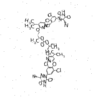 CC(CCOc1nnc(Oc2c(Cl)cc(-n3nc(C#N)c(=O)[nH]c3=O)cc2Cl)cc1C(C)C)OC(=O)OC(C)CCOc1nnc(Oc2c(Cl)cc(-n3nc(C#N)c(=O)[nH]c3=O)cc2Cl)cc1C(C)C